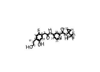 C[C@@H](CO)c1cc(F)c(CC(=O)Nc2ccnc(C(=O)NC3(C(F)(F)F)CC3)c2)cc1O